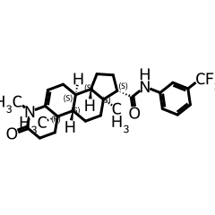 CN1C(=O)CC[C@@]2(C)C1=CC[C@H]1[C@@H]3CC[C@H](C(=O)Nc4cccc(C(F)(F)F)c4)[C@@]3(C)CC[C@@H]12